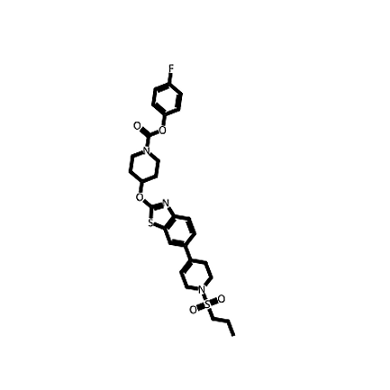 CCCS(=O)(=O)N1CC=C(c2ccc3nc(OC4CCN(C(=O)Oc5ccc(F)cc5)CC4)sc3c2)CC1